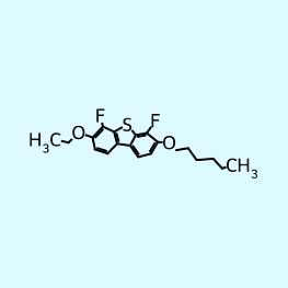 CCCCCCOc1ccc2c(sc3c(F)c(OCC)ccc32)c1F